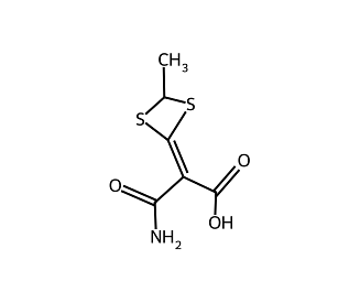 CC1SC(=C(C(N)=O)C(=O)O)S1